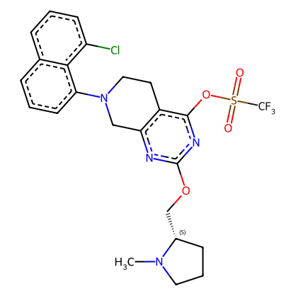 CN1CCC[C@H]1COc1nc2c(c(OS(=O)(=O)C(F)(F)F)n1)CCN(c1cccc3cccc(Cl)c13)C2